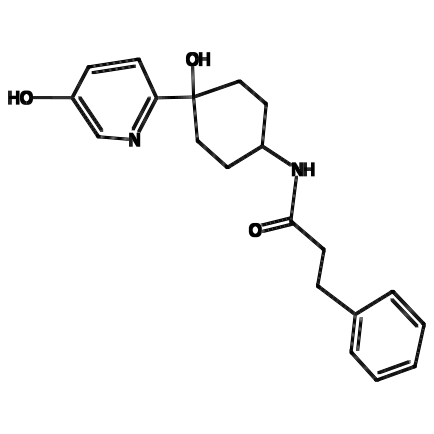 O=C(CCc1ccccc1)NC1CCC(O)(c2ccc(O)cn2)CC1